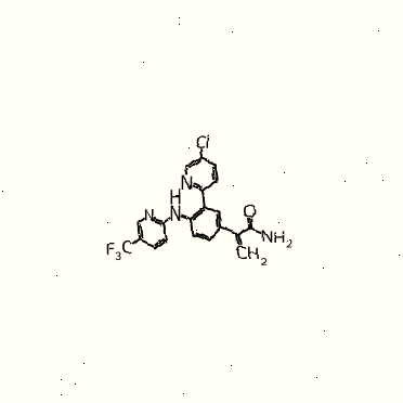 C=C(C(N)=O)c1ccc(Nc2ccc(C(F)(F)F)cn2)c(-c2ccc(Cl)cn2)c1